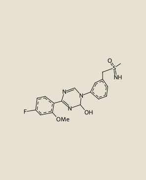 COc1cc(F)ccc1C1=NC(O)N(c2cccc(CS(C)(=N)=O)c2)C=N1